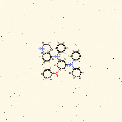 c1ccc(Oc2cc(N(c3ccccc3)c3ccccc3)cc(N(c3ccccc3)c3cccc4c3CCCN4)c2)cc1